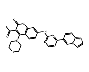 CC(=O)c1c(N2CCOCC2)c2ccc(Nc3nccc(-c4ccc5nccn5c4)n3)cc2oc1=O